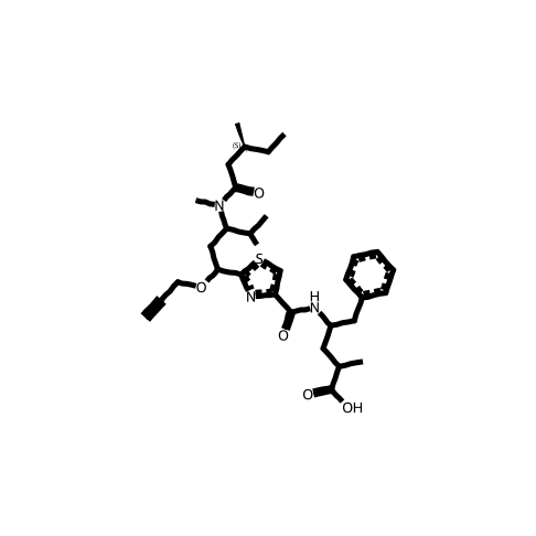 C#CCOC(CC(C(C)C)N(C)C(=O)C[C@@H](C)CC)c1nc(C(=O)NC(Cc2ccccc2)CC(C)C(=O)O)cs1